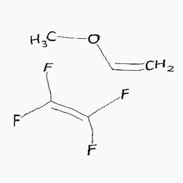 C=COC.FC(F)=C(F)F